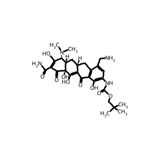 CN(C)[C@H]1C(O)=C(C(N)=O)C(=O)[C@@]2(O)C(O)=C3C(=O)c4c(O)c(NC(=O)OCC(C)(C)C)cc(CN)c4C[C@H]3C[C@@H]12